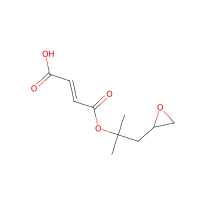 CC(C)(CC1CO1)OC(=O)C=CC(=O)O